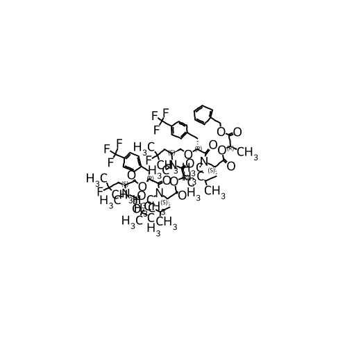 CC(C)C[C@@H](C(=O)O[C@H](C)C(=O)OCc1ccccc1)N(C)C(=O)[C@@H](Cc1ccc(C(F)(F)F)cc1)OC[C@H](CC(C)(C)F)N(C)C(=O)[C@@H](C)OC(=O)[C@H](CC(C)C)N(C)C(=O)[C@@H](Cc1ccc(C(F)(F)F)cc1)OC(=O)[C@H](CC(C)(C)F)N(C)C(=O)OC(C)(C)C